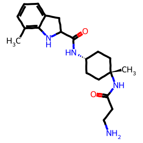 Cc1cccc2c1NC(C(=O)N[C@H]1CC[C@@](C)(NC(=O)CCN)CC1)C2